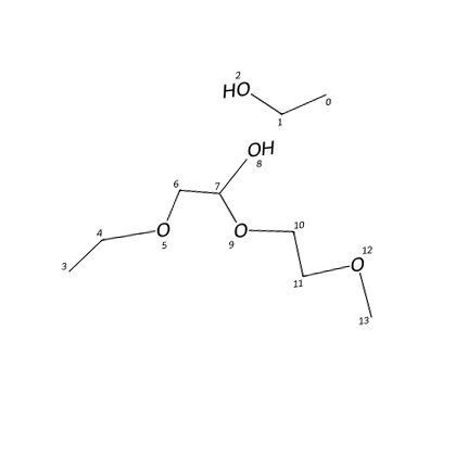 CCO.CCOCC(O)OCCOC